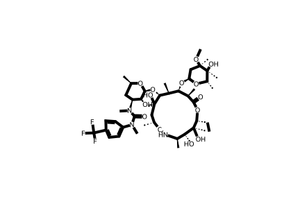 CC[C@H]1OC(=O)[C@H](C)[C@@H](O[C@H]2C[C@@](C)(OC)[C@@](C)(O)[C@H](C)O2)[C@H](C)[C@@H](O[C@@H]2O[C@H](C)C[C@H](N(C)C(=O)N(C)c3ccc(C(F)(F)F)cc3)[C@H]2O)[C@](C)(O)C[C@@H](C)CN[C@H](C)[C@@H](O)[C@]1(C)O